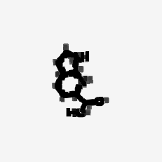 O=C(O)c1ccc2cc[nH]c2n1